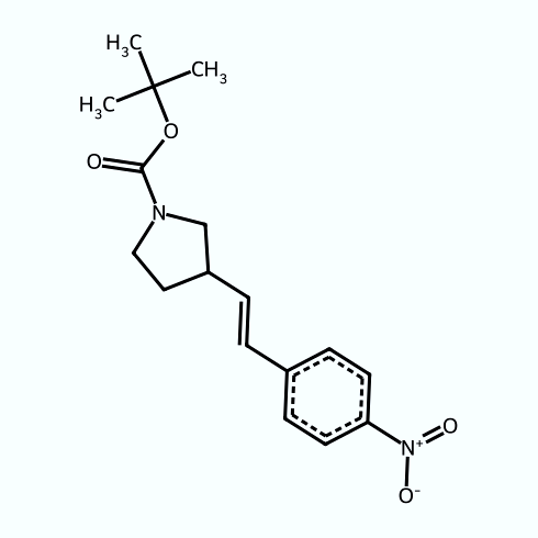 CC(C)(C)OC(=O)N1CCC(C=Cc2ccc([N+](=O)[O-])cc2)C1